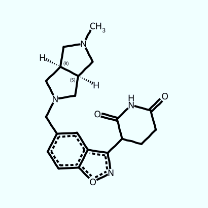 CN1C[C@@H]2CN(Cc3ccc4onc(C5CCC(=O)NC5=O)c4c3)C[C@@H]2C1